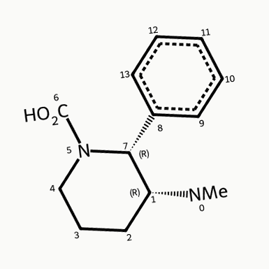 CN[C@@H]1CCCN(C(=O)O)[C@@H]1c1ccccc1